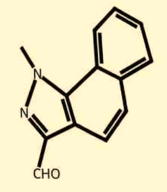 Cn1nc(C=O)c2ccc3ccccc3c21